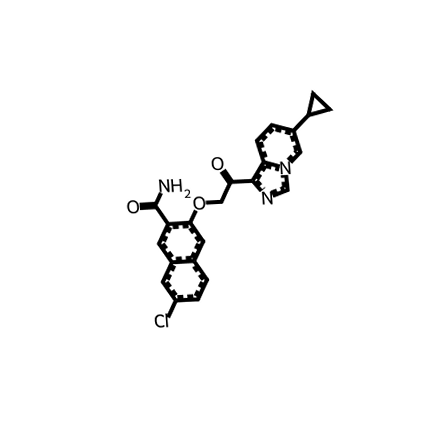 NC(=O)c1cc2cc(Cl)ccc2cc1OCC(=O)c1ncn2cc(C3CC3)ccc12